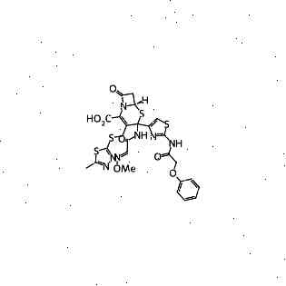 CON=CC(=O)NC1(c2csc(NC(=O)COc3ccccc3)n2)S[C@H]2CC(=O)N2C(C(=O)O)=C1CSc1nnc(C)s1